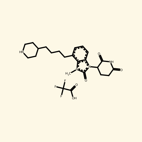 Cn1c(=O)n(C2CCC(=O)NC2=O)c2cccc(CCCCC3CCNCC3)c21.O=C(O)C(F)(F)F